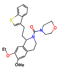 CCOc1cc2c(cc1OC)CCN(C(=O)N1CCOCC1)C2CCc1csc2ccccc12